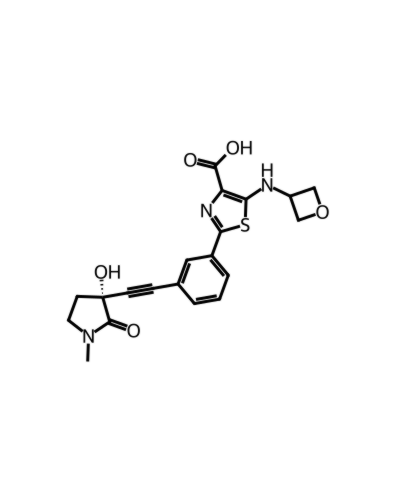 CN1CC[C@@](O)(C#Cc2cccc(-c3nc(C(=O)O)c(NC4COC4)s3)c2)C1=O